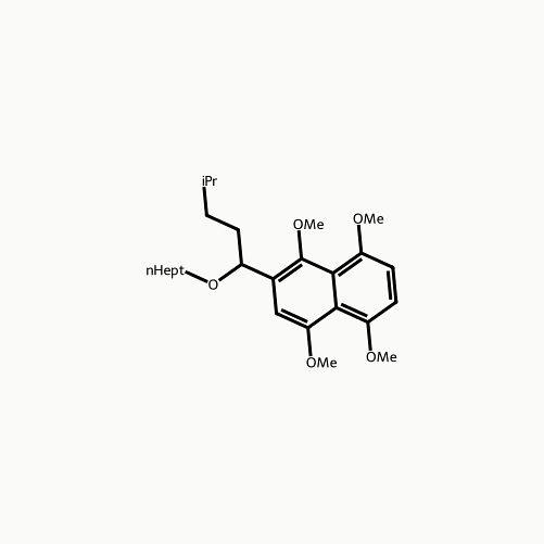 CCCCCCCOC(CCC(C)C)c1cc(OC)c2c(OC)ccc(OC)c2c1OC